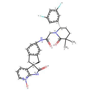 CC1(C)CC[C@@H](c2cc(F)cc(F)c2)N(CC(=O)Nc2ccc3c(c2)C[C@@]2(C3)C(=O)Nc3c2ccc[n+]3[O-])C1=O